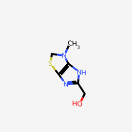 CN1CSc2nc(CO)[nH]c21